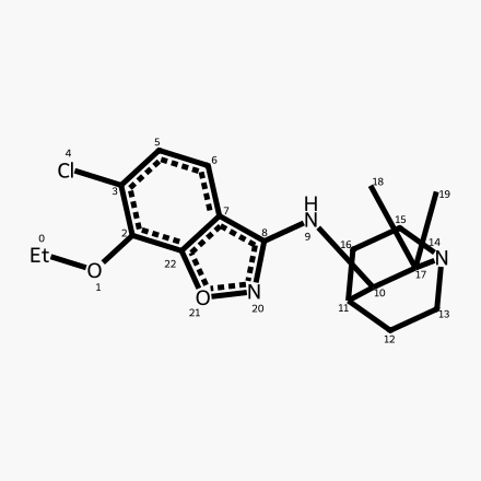 CCOc1c(Cl)ccc2c(NC3C4CCN(CC4)C3(C)C)noc12